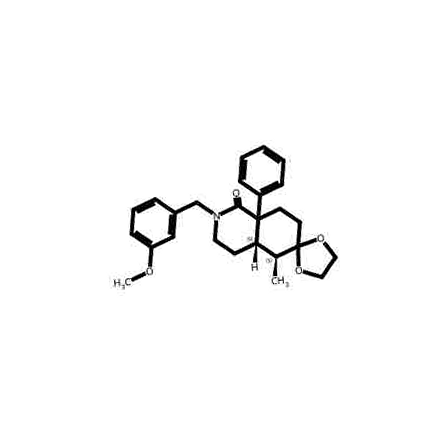 COc1cccc(CN2CC[C@H]3[C@H](C)C4(CCC3(c3ccccc3)C2=O)OCCO4)c1